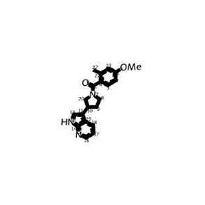 COc1ccc(C(=O)N2CCC(c3c[nH]c4ncccc34)C2)c(C)c1